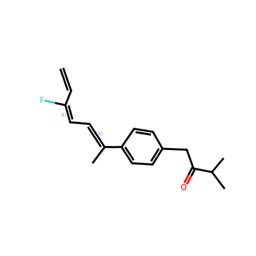 C=C/C(F)=C\C=C(/C)c1ccc(CC(=O)C(C)C)cc1